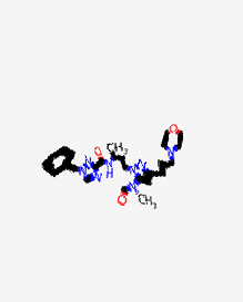 CC(CCn1nc(CCCN2CCOCC2)cc1N(C)C=O)NC(=O)c1ncn(Cc2ccccc2)n1